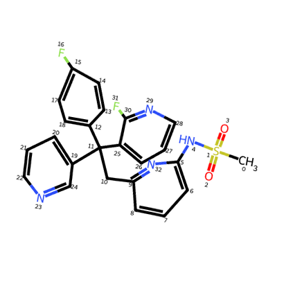 CS(=O)(=O)Nc1cccc(CC(c2ccc(F)cc2)(c2cccnc2)c2cccnc2F)n1